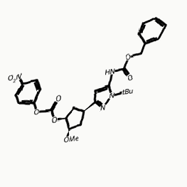 CO[C@@H]1C[C@H](c2cc(NC(=O)OCc3ccccc3)n(C(C)(C)C)n2)C[C@@H]1OC(=O)Oc1ccc([N+](=O)[O-])cc1